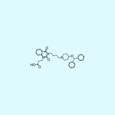 O=C(O)CCn1c(=O)n(CCCCN2CCC(OC(c3ccccc3)c3ccccc3)CC2)c(=O)c2ccccc21